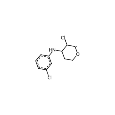 Clc1cccc(NC2CCO[CH]C2Cl)c1